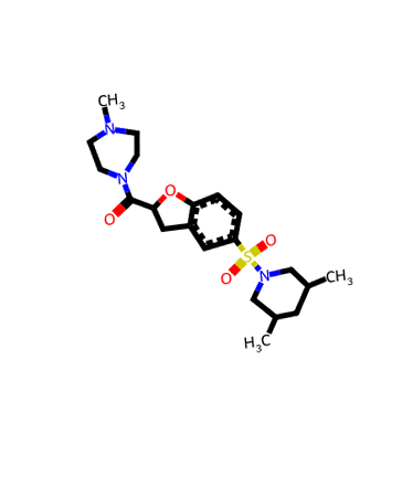 CC1CC(C)CN(S(=O)(=O)c2ccc3c(c2)CC(C(=O)N2CCN(C)CC2)O3)C1